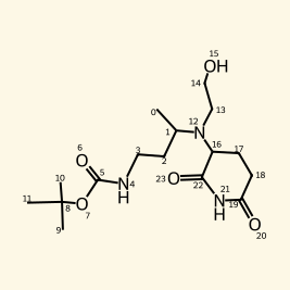 CC(CCNC(=O)OC(C)(C)C)N(CCO)C1CCC(=O)NC1=O